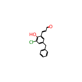 O=CC=Cc1cc(Cc2ccccc2)cc(Cl)c1O